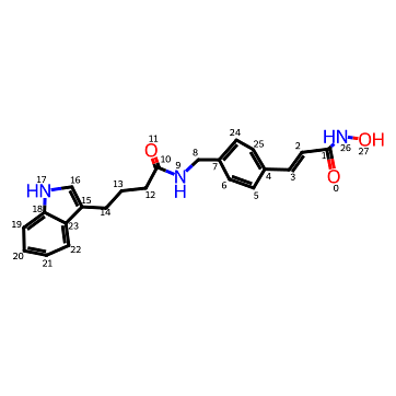 O=C(/C=C/c1ccc(CNC(=O)CCCc2c[nH]c3ccccc23)cc1)NO